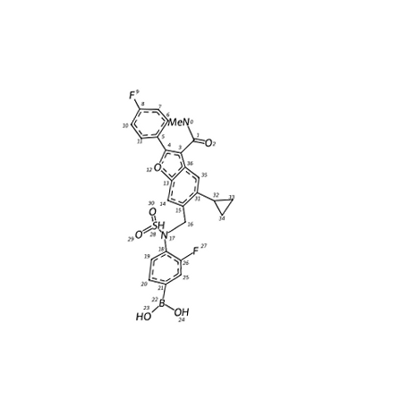 CNC(=O)c1c(-c2ccc(F)cc2)oc2cc(CN(c3ccc(B(O)O)cc3F)[SH](=O)=O)c(C3CC3)cc12